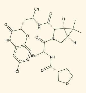 CC(C)(C)C(NC(=O)[C@@H]1CCOC1)C(=O)N1C[C@H]2[C@@H]([C@H]1C(=O)NC(C#N)C[C@@H]1Oc3ccc(Cl)cc3NC1=O)C2(C)C